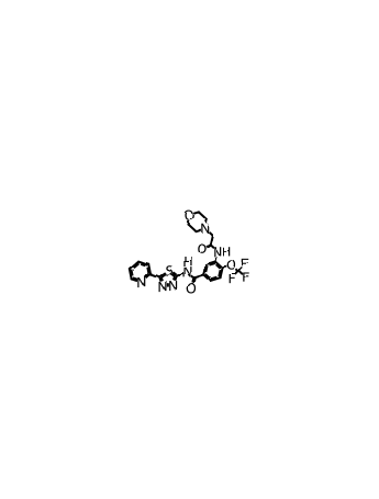 O=C(CN1CCOCC1)Nc1cc(C(=O)Nc2nnc(-c3ccccn3)s2)ccc1OC(F)(F)F